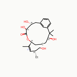 CC[C@H](/C=C(/C)[C@@H]1CCC[C@H](O)C(C)(C)c2cccc(c2)C[C@@H](O)[C@H](O)C(=O)O1)CO